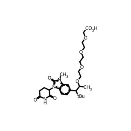 CC(OCCOCCOCCOCC(=O)O)C(c1ccc2c(c1)n(C)c(=O)n2C1CCC(=O)NC1=O)C(C)(C)C